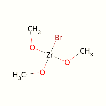 C[O][Zr]([Br])([O]C)[O]C